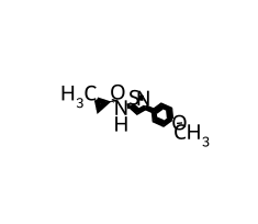 COc1ccc(-c2cc(NC(=O)[C@@H]3CC3C)sn2)cc1